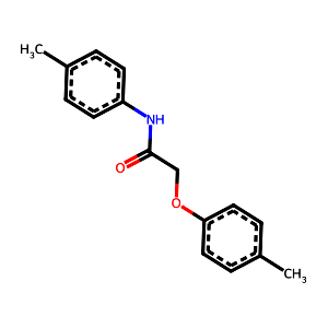 Cc1ccc(NC(=O)COc2ccc(C)cc2)cc1